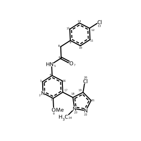 COc1ncc(NC(=O)Cc2ccc(Cl)cc2)cc1-c1c(Cl)cnn1C